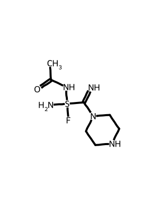 CC(=O)NS(N)(F)C(=N)N1CCNCC1